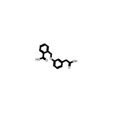 O=C(O)Cc1cccc(OCc2ccccc2C(=O)O)c1